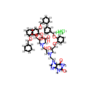 Cl.Cl.Cn1c(=O)c2c(ncn2CCN(CCCN(CC(O)COc2ccccc2OCc2ccccc2)CC(O)COc2ccccc2OCc2ccccc2)CC(O)COc2ccccc2OCc2ccccc2)n(C)c1=O